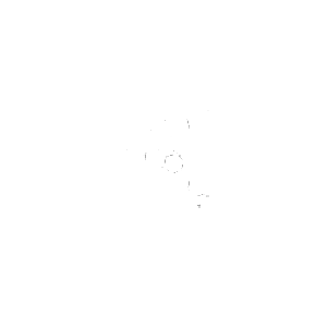 CC(C)(C)OC(=O)N(c1ccc(C=CC(=O)O)cn1)[C@@H]1CCN(CC2=CCCCC2)C1